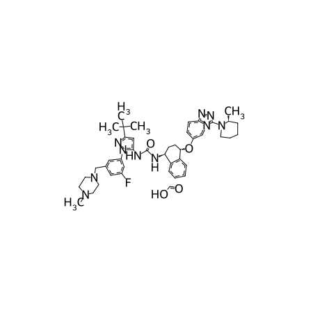 C[C@H]1CCCCN1c1nnc2ccc(O[C@@H]3CC[C@H](NC(=O)Nc4cc(C(C)(C)C)nn4-c4cc(F)cc(CN5CCN(C)CC5)c4)c4ccccc43)cn12.O=CO